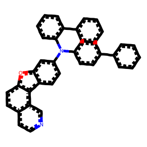 c1ccc(-c2ccc(N(c3ccc4c(c3)oc3ccc5ccncc5c34)c3ccccc3-c3ccccc3)cc2)cc1